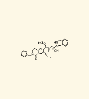 CCOc1cc2c(cc1C(=O)NC[C@@H](O)[C@@H]1Cc3ccccc3CN1)CCN(Cc1ccccc1)C2=O.Cl